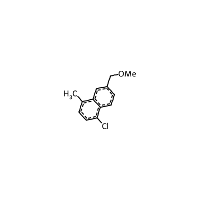 COCc1ccc2c(Cl)ccc(C)c2c1